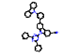 N#Cc1ccc2c(c1)c1cc(-c3cccc(-n4c5ccccc5c5ccccc54)c3)ccc1n2-c1nc(-c2ccccc2)nc(-c2ccccc2)n1